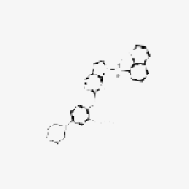 COc1cc(N2CCNCC2)ccc1Nc1ncc2ccn(S(=O)(=O)c3cccc4cccnc34)c2n1